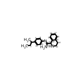 CCC(C)c1ccc(N=C(N)C2NCCc3ccccc32)cc1